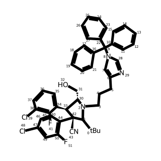 CC(C)(C)C1N(CCCc2cn(C(c3ccccc3)(c3ccccc3)c3ccccc3)cn2)[C@@H](CO)[C@H](c2cccc(Cl)c2F)[C@@]1(C#N)c1ccc(Cl)cc1F